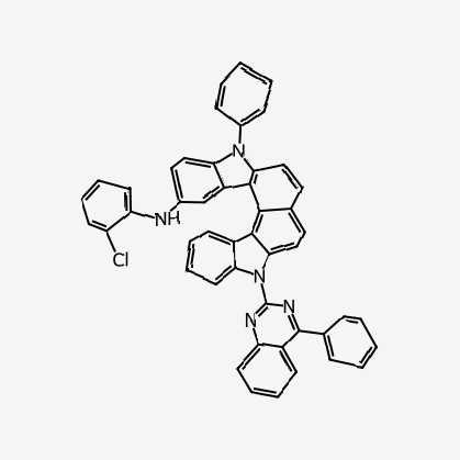 Clc1ccccc1Nc1ccc2c(c1)c1c3c(ccc1n2-c1ccccc1)ccc1c3c2ccccc2n1-c1nc(-c2ccccc2)c2ccccc2n1